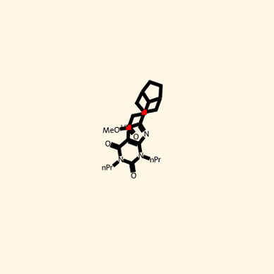 CCCn1c(=O)c2[nH]c(C3CC4CCC(C3)C4CCC(=O)OC)nc2n(CCC)c1=O